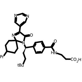 CC(C)C1CCC2(CC1)N=C(c1cncnc1)C(=O)N2[C@H](CCC(C)(C)C)c1ccc(C(=O)NCCC(=O)O)cc1